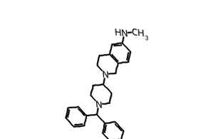 CNc1ccc2c(c1)CCN(C1CCN(C(c3ccccc3)c3ccccc3)CC1)C2